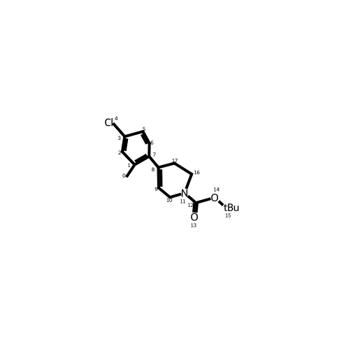 Cc1cc(Cl)ccc1C1=CCN(C(=O)OC(C)(C)C)CC1